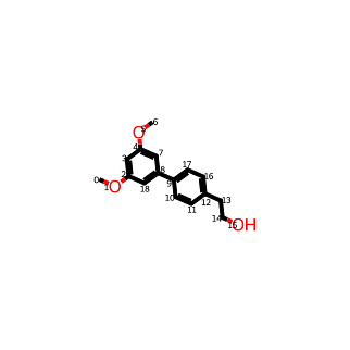 COc1cc(OC)cc(-c2ccc(CCO)cc2)c1